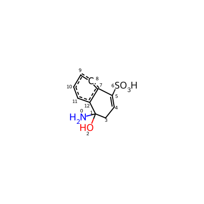 NC1(O)CC=C(S(=O)(=O)O)c2ccccc21